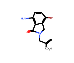 C=C(CN1Cc2c(Br)ccc(N)c2C1=O)C(=O)O